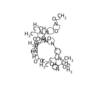 C=CC(=O)N1CCOC2(CCN(C(=O)N(C)C(C(=O)N[C@@]3(SC)C[C@H]4CN(CCO4)c4ccc5c(c4)c(c(-c4cccnc4[C@H](C)OC)n5CC)CC(C)(C)COC(=O)[C@@H]4CCCN(N4)C3=O)C(C)C)CC2)C1